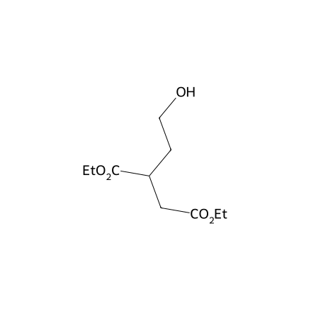 CCOC(=O)CC(CCO)C(=O)OCC